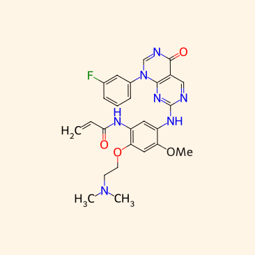 C=CC(=O)Nc1cc(Nc2ncc3c(=O)ncn(-c4cccc(F)c4)c3n2)c(OC)cc1OCCN(C)C